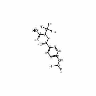 O=C(CC(C(O)=S)C(F)(F)F)c1ccc(OC(F)F)cc1